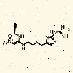 C#CCNC(=C[N+](=O)[O-])NCCSCc1csc(NC(=N)N)n1